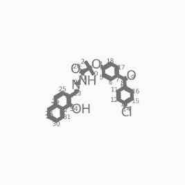 CC(C)(Oc1ccc(C(=O)c2ccc(Cl)cc2)cc1)C(=O)N/N=C/c1ccc2ccccc2c1O